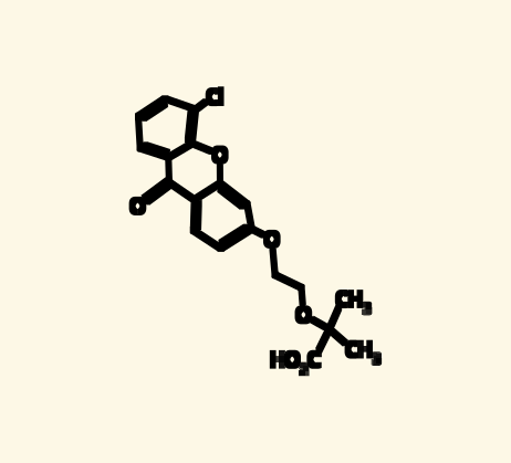 CC(C)(OCCOc1ccc2c(=O)c3cccc(Cl)c3oc2c1)C(=O)O